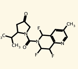 Cc1cnc2c(c1)C(F)N(C(=O)N1CC(=O)CC1C(C)C)C(F)C2F